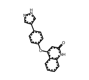 O=c1cc(Oc2ccc(-c3cn[nH]c3)cc2)c2ccccc2[nH]1